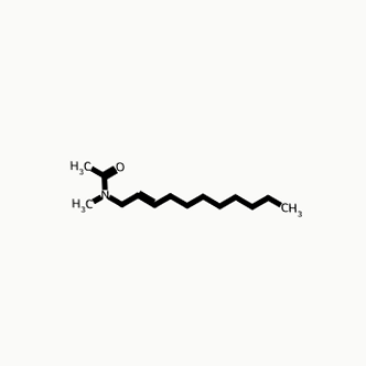 CCCCCCCC/C=C/CN(C)C(C)=O